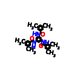 Cc1cc(C)cc(C(=O)Nc2cc(NC(=O)c3cc(C)cc(C)c3)cc(NC(=O)c3cc(C)cc(C)c3)c2)c1